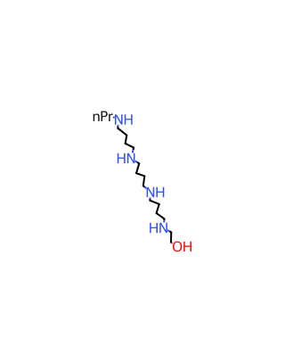 CCCNCCCCNCCCCNCCCCNCCO